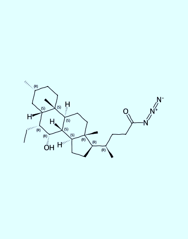 CC[C@H]1[C@@H](O)[C@@H]2[C@H](CC[C@]3(C)[C@@H]([C@H](C)CCC(=O)N=[N+]=[N-])CC[C@@H]23)[C@@]2(C)CC[C@@H](C)C[C@@H]12